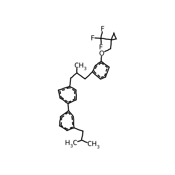 CC(C)Cc1cccc(-c2ccc(CC(C)Cc3cccc(OCC4(C(F)(F)F)CC4)c3)cc2)c1